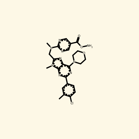 Cc1cc(-c2nc(N3CCOCC3)c3nc(CN(C)c4ncc(C(=O)ON)cn4)n(C)c3n2)ccc1Cl